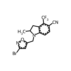 CC1Cc2c(ccc(C#N)c2C(F)(F)F)N1Cc1cc(Br)no1